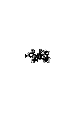 COc1ccc(CN(c2ncns2)S(=O)(=O)c2cc3oc(=O)n(C(C)c4cccc(Br)c4)c3cc2F)c(OC)c1